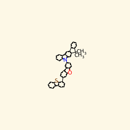 CC1(C)c2ccccc2-c2cc3c4ccccc4n(-c4ccc5oc6cc(-c7cccc8c7sc7ccccc78)ccc6c5c4)c3cc21